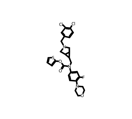 O=C(Oc1cccs1)N(CC1C2CN(Cc3ccc(Cl)c(Cl)c3)CC21)c1ccc(N2CCOCC2)c(F)c1